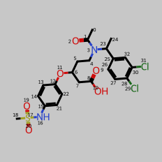 CC(=O)N(CCC(CC(=O)O)Oc1ccc(NS(C)(=O)=O)cc1)C(C)c1ccc(Cl)c(Cl)c1